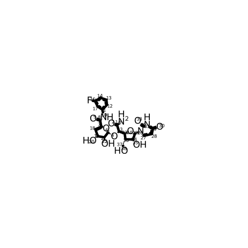 NC(=O)[C@H](O[C@H]1OC(C(=O)Nc2cccc(F)c2)=C[C@H](O)[C@@H]1O)[C@H]1O[C@@H](n2ccc(=O)[nH]c2=O)[C@H](O)[C@@H]1CO